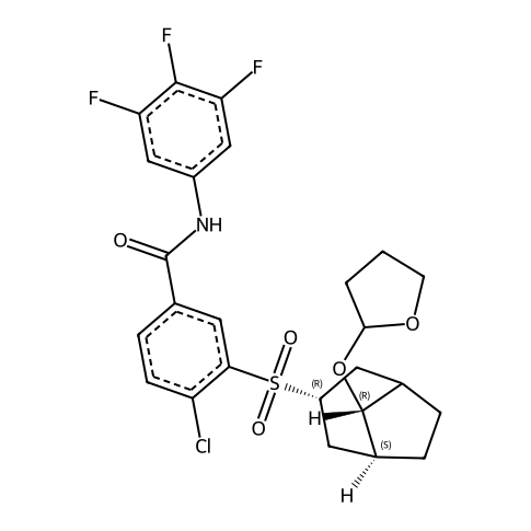 O=C(Nc1cc(F)c(F)c(F)c1)c1ccc(Cl)c(S(=O)(=O)[C@@H]2CC3CC[C@@H](C2)[C@@H]3OC2CCCO2)c1